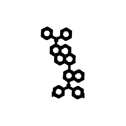 c1ccc(N(c2ccccc2)c2ccc3ccc4c(-c5ccc(N(c6ccncc6)c6ccncc6)c6ccccc56)ccc5ccc2c3c54)cc1